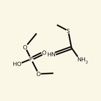 COP(=O)(O)OC.CSC(=N)N